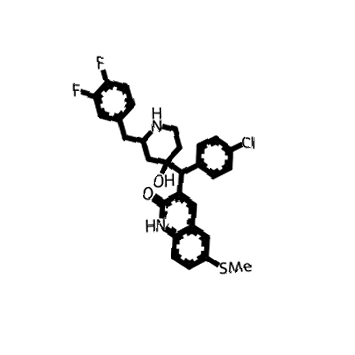 CSc1ccc2[nH]c(=O)c(C(c3ccc(Cl)cc3)C3(O)CCNC(Cc4ccc(F)c(F)c4)C3)cc2c1